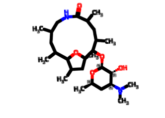 CC1CNC(=O)C(C)CC(C)C(O[C@@H]2O[C@H](C)C[C@H](N(C)C)[C@H]2O)C2(C)CC(C)C(O2)C(C)C1